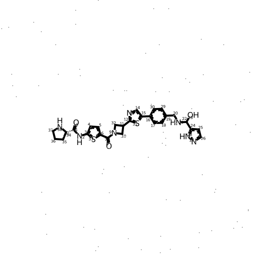 O=C(Nc1ccc(C(=O)N2CC(c3ncc(-c4ccc(CNC(O)c5ccn[nH]5)cc4)s3)C2)s1)[C@@H]1CCCN1